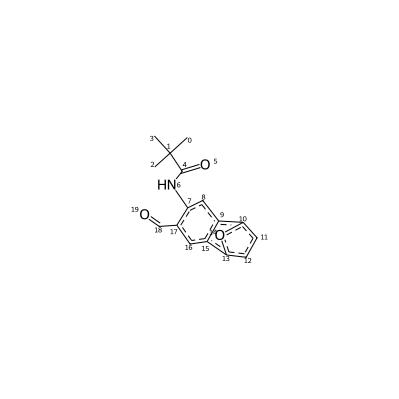 CC(C)(C)C(=O)Nc1cc2c3ccc(o3)c2cc1C=O